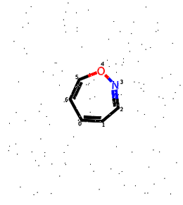 [C]1=CC=NOC=C1